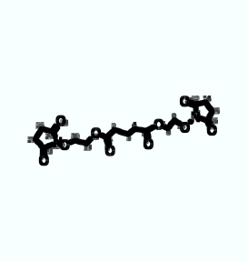 O=C(CCCC(=O)OCCON1C(=O)CCC1=O)OCCON1C(=O)CCC1=O